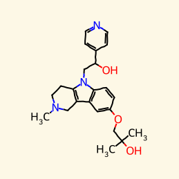 CN1CCc2c(c3cc(OCC(C)(C)O)ccc3n2CC(O)c2ccncc2)C1